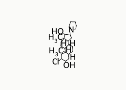 C[C@]12C[C@H](Cl)[C@@H](O)C[C@@H]1CC[C@@H]1[C@@H]2CC[C@]2(C)[C@@H](O)[C@@H](N3CCCCC3)C[C@@H]12